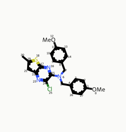 COc1ccc(CN(Cc2ccc(OC)cc2)c2nc3sc(C)cc3nc2Cl)cc1